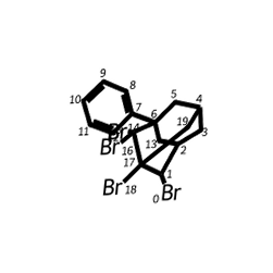 BrC1C2CC3CC(c4ccccc4)(C2)C(Br)(Br)C1(Br)C3